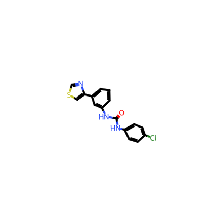 O=C(Nc1ccc(Cl)cc1)Nc1cccc(-c2cscn2)c1